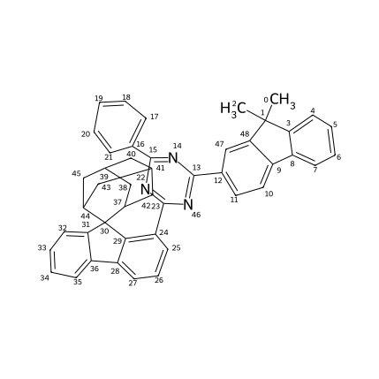 CC1(C)c2ccccc2-c2ccc(-c3nc(-c4ccccc4)nc(-c4cccc5c4C4(c6ccccc6-5)C5CC6CC(C5)CC4C6)n3)cc21